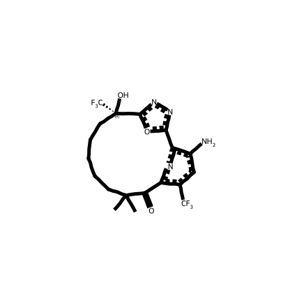 CC1(C)CCCCC[C@](O)(C(F)(F)F)c2nnc(o2)-c2nc(c(C(F)(F)F)cc2N)C1=O